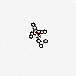 c1ccc(-n2c3ccccc3c3ccc(-c4nc(-c5ccc6ccccc6c5)nc(-c5c(-n6c7ccccc7c7cc8ccccc8cc76)ccc6ccccc56)n4)cc32)cc1